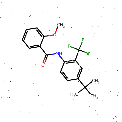 COc1ccccc1C(=O)Nc1ccc(C(C)(C)C)cc1C(F)(F)F